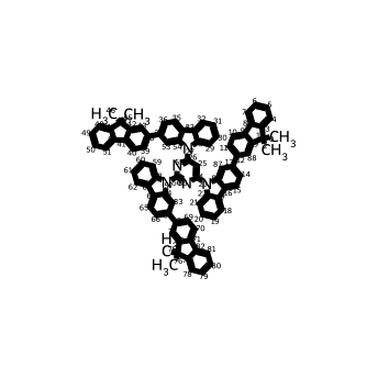 CC1(C)c2ccccc2-c2ccc(-c3ccc4c5ccccc5n(-c5cc(-n6c7ccccc7c7ccc(-c8ccc9c(c8)C(C)(C)c8ccccc8-9)cc76)nc(-n6c7ccccc7c7ccc(-c8ccc9c(c8)C(C)(C)c8ccccc8-9)cc76)n5)c4c3)cc21